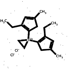 CCC1=[C]([Ti+2]2([C]3=C(CC)C=C(C)C3)[CH2][CH2]2)CC(C)=C1.[Cl-].[Cl-]